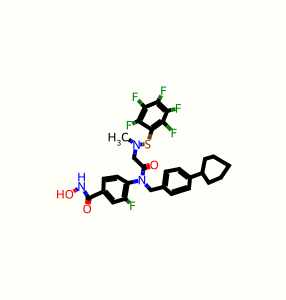 CN(CC(=O)N(Cc1ccc(C2CCCCC2)cc1)c1ccc(C(=O)NO)cc1F)Sc1c(F)c(F)c(F)c(F)c1F